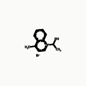 Cc1cc[n+](C(C)O)c2ccccc12.[Br-]